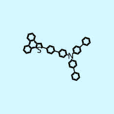 c1ccc(-c2ccc(N(c3ccc(-c4ccccc4)cc3)c3ccc(-c4ccc(-c5cc6c7ccccc7c7ccccc7c6s5)cc4)cc3)cc2)cc1